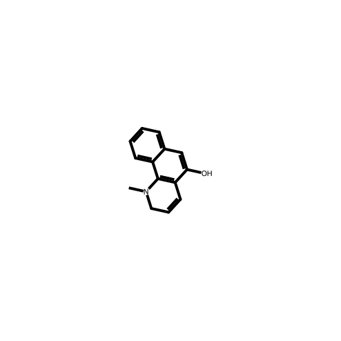 CN1CC=Cc2c(O)cc3ccccc3c21